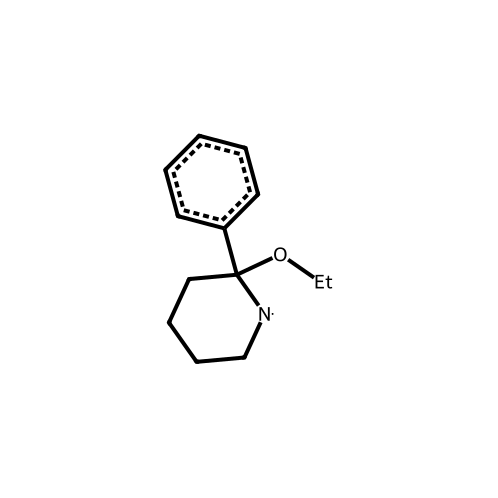 CCOC1(c2ccccc2)CCCC[N]1